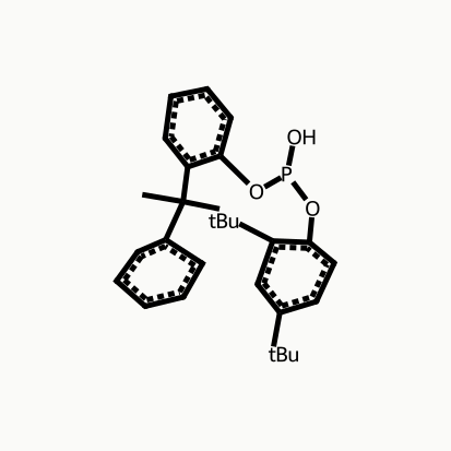 CC(C)(C)c1ccc(OP(O)Oc2ccccc2C(C)(C)c2ccccc2)c(C(C)(C)C)c1